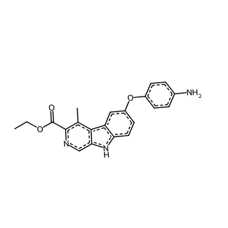 CCOC(=O)c1ncc2[nH]c3ccc(Oc4ccc(N)cc4)cc3c2c1C